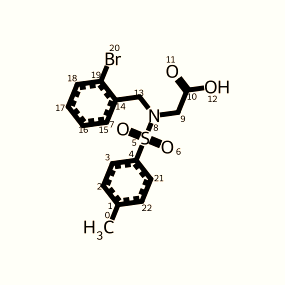 Cc1ccc(S(=O)(=O)N(CC(=O)O)Cc2ccccc2Br)cc1